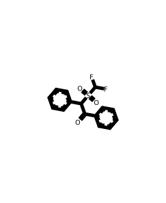 O=C(c1ccccc1)C(c1ccccc1)S(=O)(=O)C(F)F